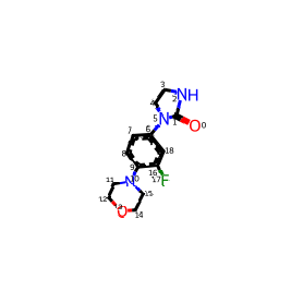 O=C1NCCN1c1ccc(N2CCOCC2)c(F)c1